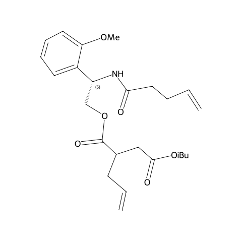 C=CCCC(=O)N[C@H](COC(=O)C(CC=C)CC(=O)OCC(C)C)c1ccccc1OC